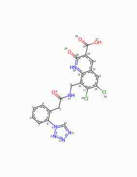 O=C(Cc1ccccc1-n1cnnn1)NCc1c(Cl)c(Cl)cc2cc(C(=O)O)c(=O)[nH]c12